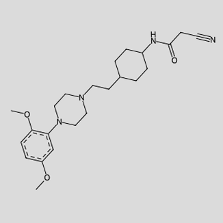 COc1ccc(OC)c(N2CCN(CCC3CCC(NC(=O)CC#N)CC3)CC2)c1